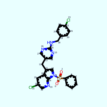 O=S(=O)(c1ccccc1)n1cc(Cc2cnc(NCc3ccc(Cl)cc3)nc2)c2cc(Cl)cnc21